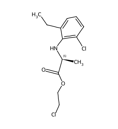 CCc1cccc(Cl)c1N[C@@H](C)C(=O)OCCCl